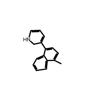 Cc1ccc(C2=CC=CNC2)c2ccccc12